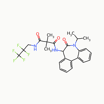 CC(C)N1C(=O)C(NC(=O)C(C)(C)C(=O)NCC(F)(F)C(F)(F)F)c2ccccc2-c2ccccc21